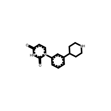 O=c1ccn(-c2cccc(C3CCNCC3)c2)c(=O)[nH]1